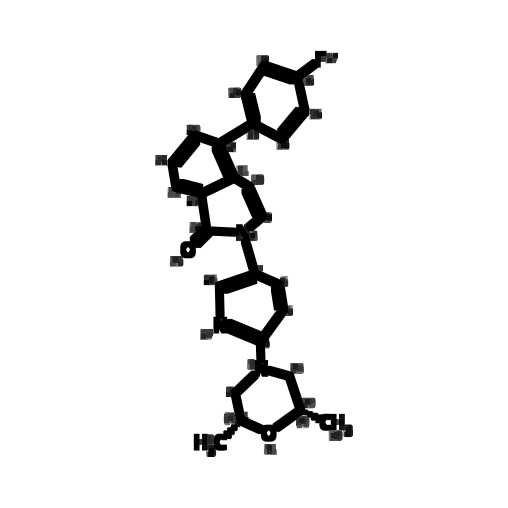 C[C@@H]1CN(c2ccc(-n3ccc4c(-c5ccc(F)cc5)cccc4c3=O)cn2)C[C@H](C)O1